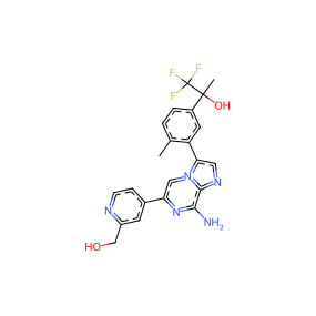 Cc1ccc(C(C)(O)C(F)(F)F)cc1-c1cnc2c(N)nc(-c3ccnc(CO)c3)cn12